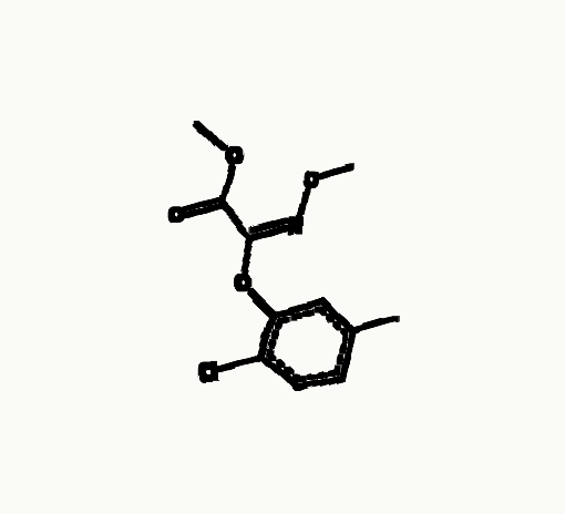 CON=C(Oc1cc(C)ccc1Cl)C(=O)OC